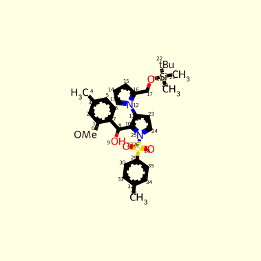 COc1cc(C)ccc1C(O)c1c(-n2cccc2CO[Si](C)(C)C(C)(C)C)ccn1S(=O)(=O)c1ccc(C)cc1